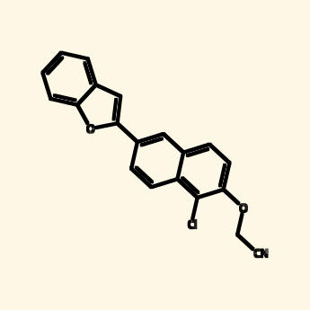 N#CCOc1ccc2cc(-c3cc4ccccc4o3)ccc2c1Cl